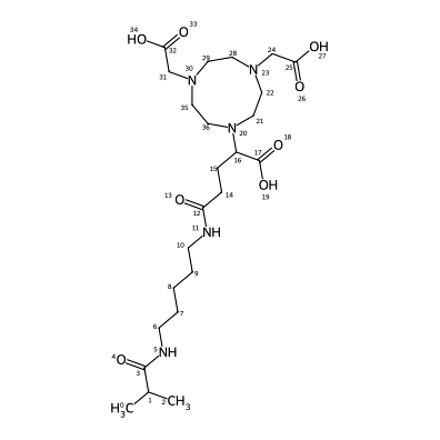 CC(C)C(=O)NCCCCCNC(=O)CCC(C(=O)O)N1CCN(CC(=O)O)CCN(CC(=O)O)CC1